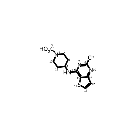 O=C(O)N1CCC(Nc2nc(Cl)nc3ccsc23)CC1